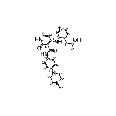 CC(O)Cc1ccncc1Nc1cc[nH]c(=O)c1C(=O)Nc1ccc(N2CCN(C)CC2)cc1